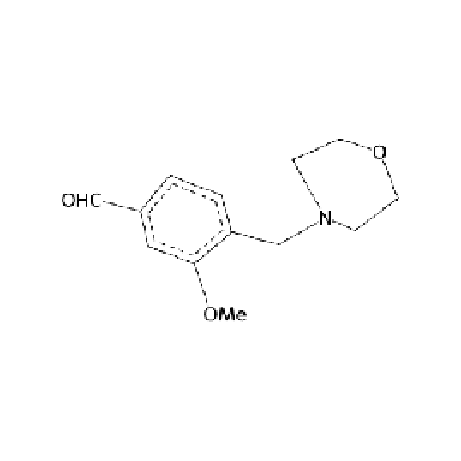 COc1cc(C=O)ccc1CN1CCOCC1